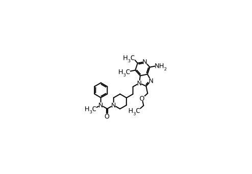 CCOCc1nc2c(N)nc(C)c(C)c2n1CCC1CCN(C(=O)N(C)c2ccccc2)CC1